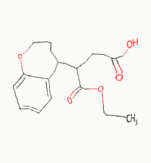 CCOC(=O)C(CC(=O)O)C1CCOc2ccccc21